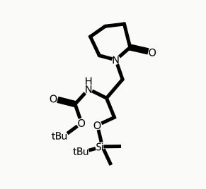 CC(C)(C)OC(=O)NC(CO[Si](C)(C)C(C)(C)C)CN1CCCCC1=O